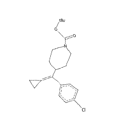 CC(C)(C)OC(=O)N1CCC(C(=C2CC2)c2ccc(Cl)cc2)CC1